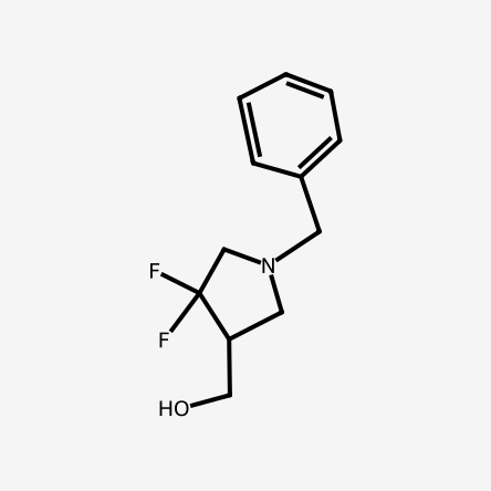 OCC1CN(Cc2ccccc2)CC1(F)F